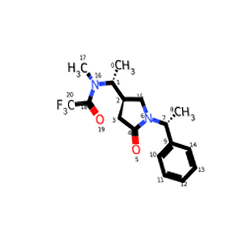 C[C@H]([C@@H]1CC(=O)N([C@H](C)c2ccccc2)C1)N(C)C(=O)C(F)(F)F